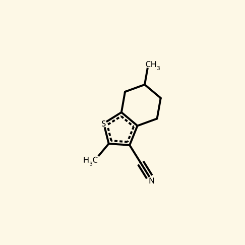 Cc1sc2c(c1C#N)CCC(C)C2